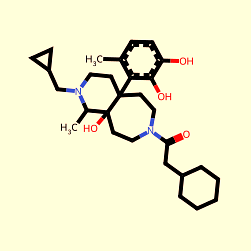 Cc1ccc(O)c(O)c1C12CCN(C(=O)CC3CCCCC3)CCC1(O)C(C)N(CC1CC1)CC2